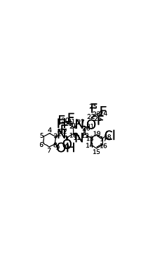 O=C(N[C@@H]1CCCC[C@H]1O)c1nc(-c2cccc(Cl)c2)c(OCC(F)(F)F)nc1C(F)(F)F